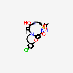 CC(C)C[C@H]1[C@@H](C)C/C=C/[C@H](O)[C@@H]2CC[C@H]2CN2CCCCc3cc(Cl)ccc3COc3ccc(cc32)C(=O)NS1(=O)=O